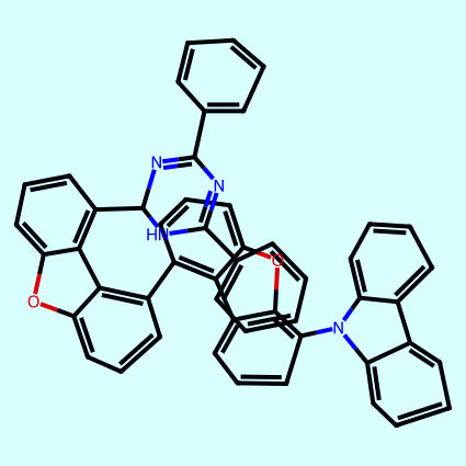 c1ccc(C2=NC(c3cccc4oc5cccc(-c6cccc7oc8c(-n9c%10ccccc%10c%10ccccc%109)cccc8c67)c5c34)NC(c3ccccc3)=N2)cc1